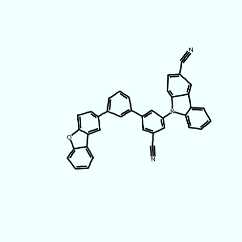 N#Cc1cc(-c2cccc(-c3ccc4oc5ccccc5c4c3)c2)cc(-n2c3ccccc3c3cc(C#N)ccc32)c1